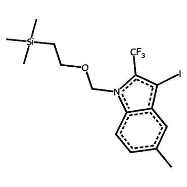 Cc1ccc2c(c1)c(I)c(C(F)(F)F)n2COCC[Si](C)(C)C